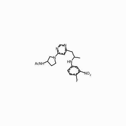 CC(=O)NC1CCN(c2cc(CC(C)Nc3ccc(F)c([N+](=O)[O-])c3)ncn2)C1